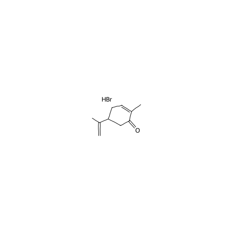 Br.C=C(C)C1CC=C(C)C(=O)C1